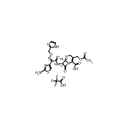 CC(=O)OCC1=C(C(=O)O)N2C(=O)[C@@H](NC(=O)/C(=N\OCc3ncc[nH]3)c3csc(N)n3)[C@H]2SC1.O=C(O)C(F)(F)F